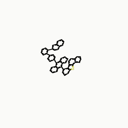 c1ccc(-c2ccc3ccccc3c2)c(-c2ccc(-c3c4ccccc4c(-c4cccc5sc6c7ccccc7ccc6c45)c4ccccc34)cc2)c1